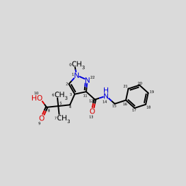 Cn1cc(CC(C)(C)C(=O)O)c(C(=O)NCc2ccccc2)n1